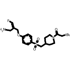 CC(C)(C)CC(=O)N1CCC(CS(=O)(=O)c2ccc(OCC(=CF)CN)cc2)CC1